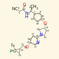 C[C@H](NC(=O)CC#N)c1ccc(O[C@@H]2CCN(c3ccc(OCC4CC4(F)F)cn3)C2)cc1